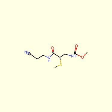 COC(=O)NCC(SC)C(=O)NCCC#N